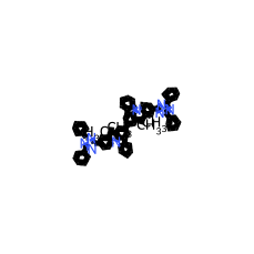 CC1(C)c2cc(-c3nc(-c4ccccc4)nc(-c4ccccc4)n3)ccc2-n2c3ccccc3c3cc(-c4cc5c6c(c4)c4ccccc4n6-c4ccc(-c6nc(-c7ccccc7)nc(C7C=CC=CC7)n6)cc4C5(C)C)cc1c32